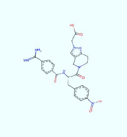 N=C(N)c1ccc(C(=O)N[C@@H](Cc2ccc([N+](=O)[O-])cc2)C(=O)N2CCc3nn(CC(=O)O)cc3C2)cc1